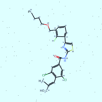 CC(=Cc1c(Cl)cc(C(=O)Nc2nc(-c3cccc(COCCCC(C)C)c3F)cs2)cc1Cl)C(=O)O